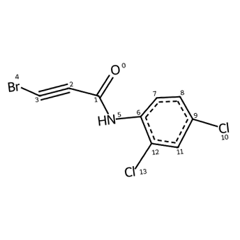 O=C(C#CBr)Nc1ccc(Cl)cc1Cl